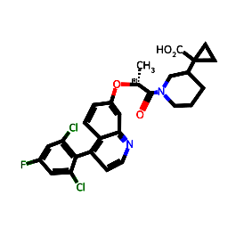 C[C@@H](Oc1ccc2c(-c3c(Cl)cc(F)cc3Cl)ccnc2c1)C(=O)N1CCCC(C2(C(=O)O)CC2)C1